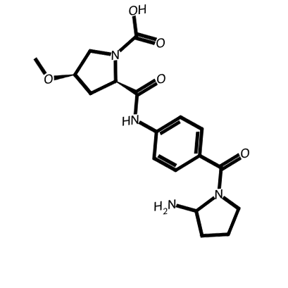 CO[C@@H]1C[C@H](C(=O)Nc2ccc(C(=O)N3CCCC3N)cc2)N(C(=O)O)C1